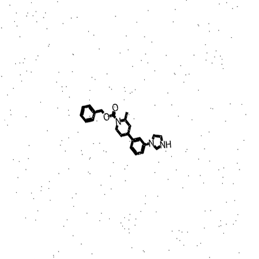 CC1CC(c2cccc(N3CCNC3)c2)CCN1C(=O)OCc1ccccc1